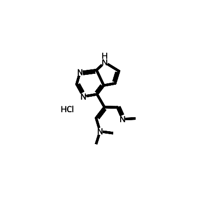 CN=CC(=CN(C)C)c1ncnc2[nH]ccc12.Cl